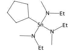 CC[N](C)[Sn]([CH]1CCCC1)([N](C)CC)[N](C)CC